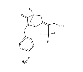 COc1ccc(CN2C(=O)[C@H]3C/C(=C(\CO)C(F)(F)F)C2C3)cc1